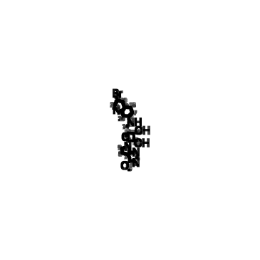 COc1ncnc2c1ccn2[C@@H]1O[C@H](CNc2ccc3cc(Br)cnc3c2)[C@@H](O)[C@H]1O